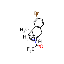 CC1(C)[C@H]2Cc3ccc(Br)cc3[C@]1(C)CCN2C(=O)C(F)(F)F